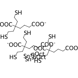 CCCCCCC[CH2][Sn+3].CCCCCCC[CH2][Sn+3].O=C([O-])CCCC(CCS)(CCS)C(=O)[O-].O=C([O-])CCCC(CCS)(CCS)C(=O)[O-].O=C([O-])CCCC(CCS)(CCS)C(=O)[O-]